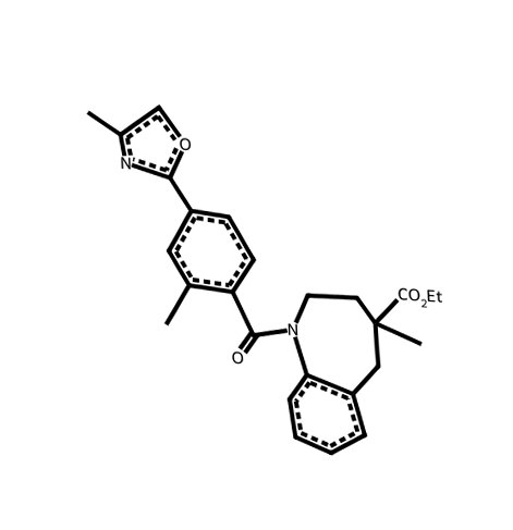 CCOC(=O)C1(C)CCN(C(=O)c2ccc(-c3nc(C)co3)cc2C)c2ccccc2C1